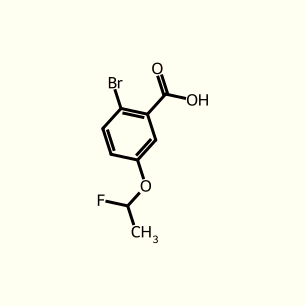 CC(F)Oc1ccc(Br)c(C(=O)O)c1